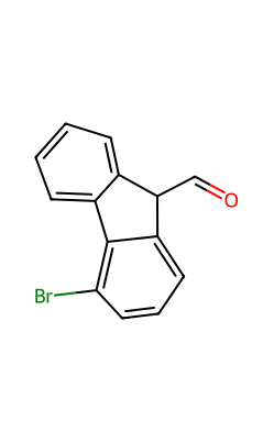 O=CC1c2ccccc2-c2c(Br)cccc21